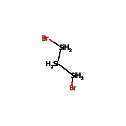 Br[SiH2][SiH2][SiH2]Br